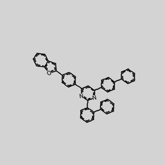 c1ccc(-c2ccc(-c3cc(-c4ccc(-c5cc6ccccc6o5)cc4)nc(-c4ccccc4-c4ccccc4)n3)cc2)cc1